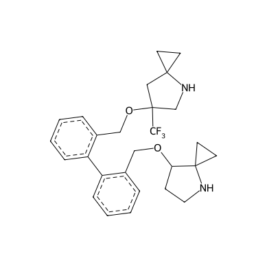 FC(F)(F)C1(OCc2ccccc2-c2ccccc2COC2CCNC23CC3)CNC2(CC2)C1